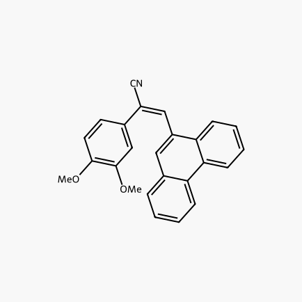 COc1ccc(C(C#N)=Cc2cc3ccccc3c3ccccc23)cc1OC